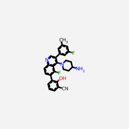 Cc1cc(F)cc(-c2cnc3ccc(-c4cccc(C#N)c4O)c(F)c3c2N2CCC(N)CC2)c1